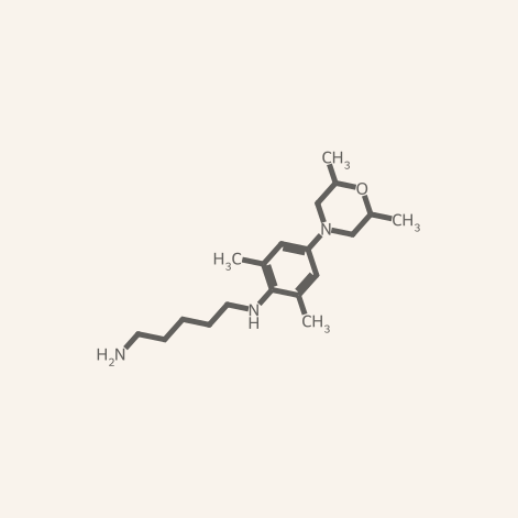 Cc1cc(N2CC(C)OC(C)C2)cc(C)c1NCCCCCN